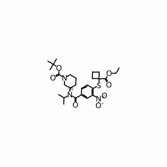 CCOC(=O)C1(Sc2ccc(C(=O)N(C(C)C)[C@@H]3CCCN(C(=O)OC(C)(C)C)C3)cc2[N+](=O)[O-])CCC1